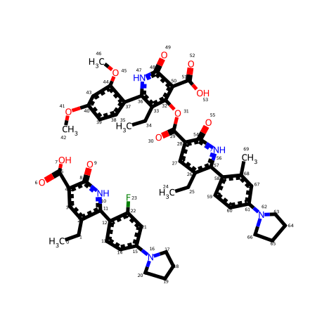 CCc1cc(C(=O)O)c(=O)[nH]c1-c1ccc(N2CCCC2)cc1F.CCc1cc(C(=O)Oc2c(CC)c(-c3ccc(OC)cc3OC)[nH]c(=O)c2C(=O)O)c(=O)[nH]c1-c1ccc(N2CCCC2)cc1C